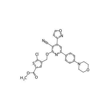 COC(=O)c1cc(COc2nc(-c3ccc(N4CCOCC4)cc3)cc(-c3ccon3)c2C#N)c(Cl)s1